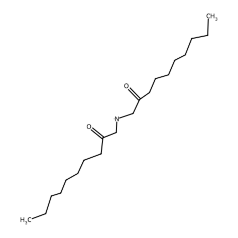 CCCCCCCCC(=O)C[N]CC(=O)CCCCCCCC